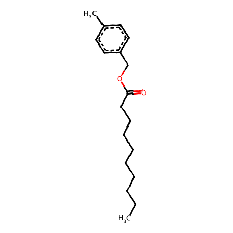 CCCCCCCCCC(=O)OCc1ccc(C)cc1